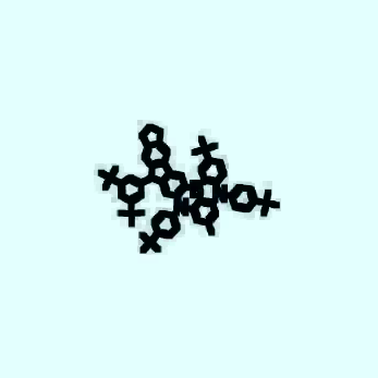 Cc1cc2c3c(c1)N(c1ccc(C(C)(C)C)cc1)c1cc4c(cc1B3c1cc(C(C)(C)C)ccc1N2c1ccc(C(C)(C)C)cc1)-c1cc2c(cc1C4c1cc(C(C)(C)C)cc(C(C)(C)C)c1)CCC2